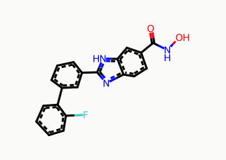 O=C(NO)c1ccc2nc(-c3cccc(-c4ccccc4F)c3)[nH]c2c1